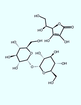 O=C1O[C@H]([C@@H](O)CO)C(O)=C1O.OC[C@H]1O[C@H](O[C@H]2O[C@H](CO)[C@@H](O)[C@H](O)[C@H]2O)[C@H](O)[C@@H](O)[C@@H]1O